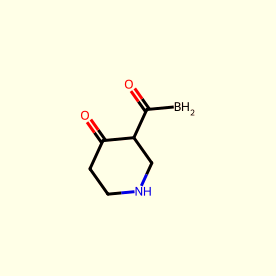 BC(=O)C1CNCCC1=O